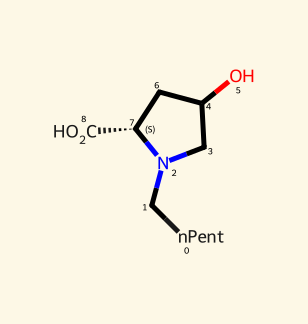 CCCCCCN1CC(O)C[C@H]1C(=O)O